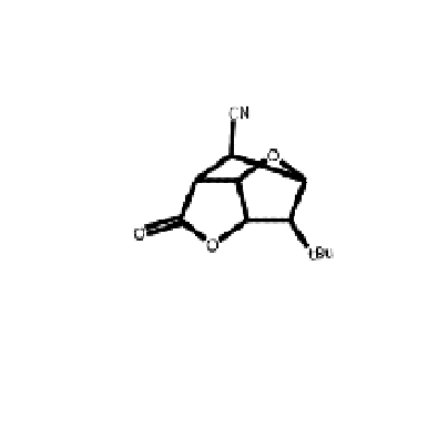 CC(C)(C)C1C2OC3C1OC(=O)C3C2C#N